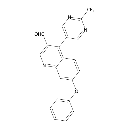 O=Cc1cnc2cc(Oc3ccccc3)ccc2c1-c1cnc(C(F)(F)F)nc1